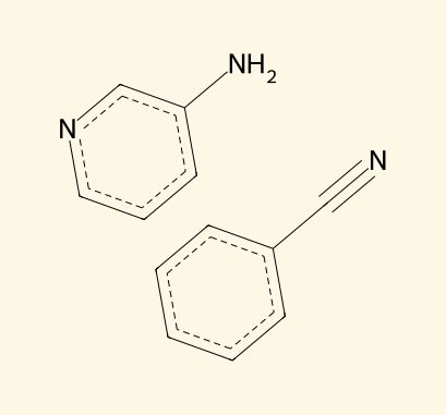 N#Cc1ccccc1.Nc1cccnc1